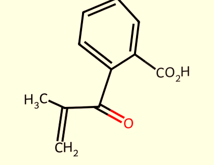 C=C(C)C(=O)c1ccccc1C(=O)O